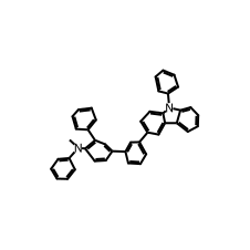 CN(c1ccccc1)c1ccc(-c2cccc(-c3ccc4c(c3)c3ccccc3n4-c3ccccc3)c2)cc1-c1ccccc1